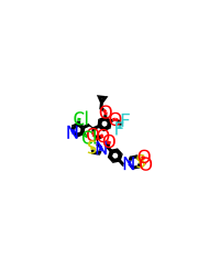 O=C(O[C@@H](Cc1c(Cl)cncc1Cl)c1ccc(OC(F)F)c(OCC2CC2)c1)[C@@H]1SCCN1C(=O)c1ccc(CN2CCS(=O)(=O)CC2)cc1